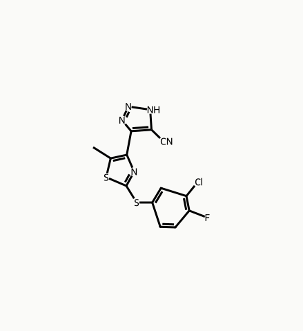 Cc1sc(Sc2ccc(F)c(Cl)c2)nc1-c1nn[nH]c1C#N